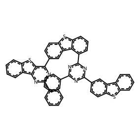 c1ccc(-c2nc(-c3ccc4sc5ccccc5c4c3)nc(-c3cccc4sc5ccc(-c6nc(-c7ccccc7)nc7c6sc6ccccc67)cc5c34)n2)cc1